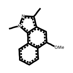 COc1cc2c(C)nn(C)c2c2ccccc12